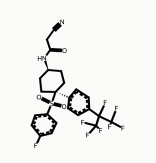 N#CCC(=O)N[C@H]1CC[C@@](c2ccc(C(F)(C(F)(F)F)C(F)(F)F)cc2)(S(=O)(=O)c2ccc(F)cc2)CC1